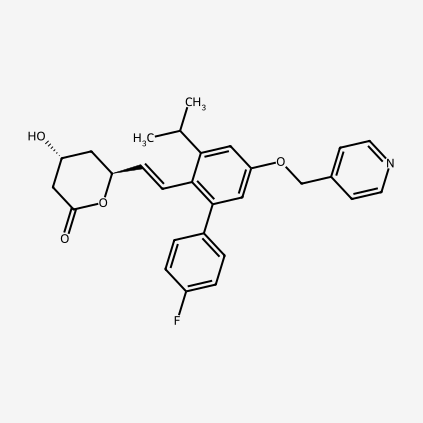 CC(C)c1cc(OCc2ccncc2)cc(-c2ccc(F)cc2)c1/C=C/[C@@H]1C[C@@H](O)CC(=O)O1